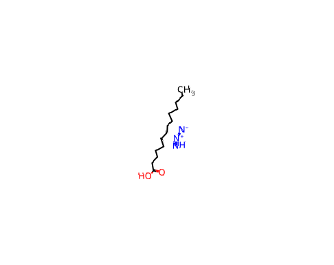 CCCCCCCCCCCCCC(=O)O.[N-]=[N+]=N